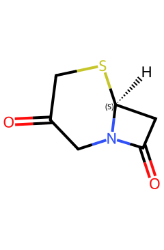 O=C1CS[C@H]2CC(=O)N2C1